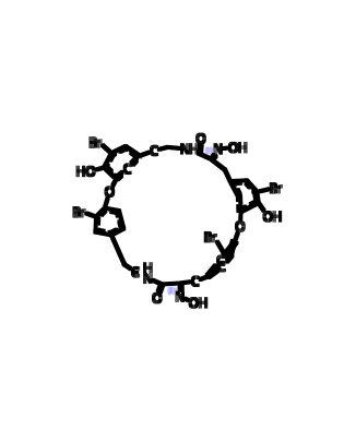 O=C1NCCc2ccc(c(Br)c2)Oc2cc(cc(Br)c2O)CCNC(=O)/C(=N/O)Cc2cc(Br)c(O)c(c2)Oc2ccc(cc2Br)C/C1=N\O